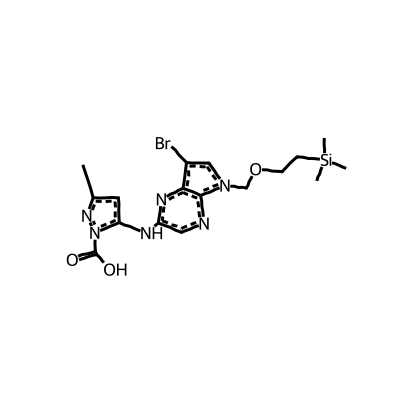 Cc1cc(Nc2cnc3c(n2)c(Br)cn3COCC[Si](C)(C)C)n(C(=O)O)n1